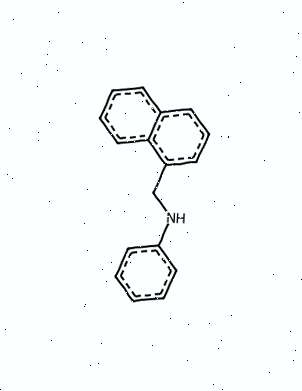 c1ccc(NCc2cccc3ccccc23)cc1